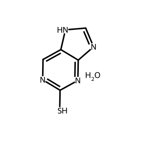 O.Sc1ncc2[nH]cnc2n1